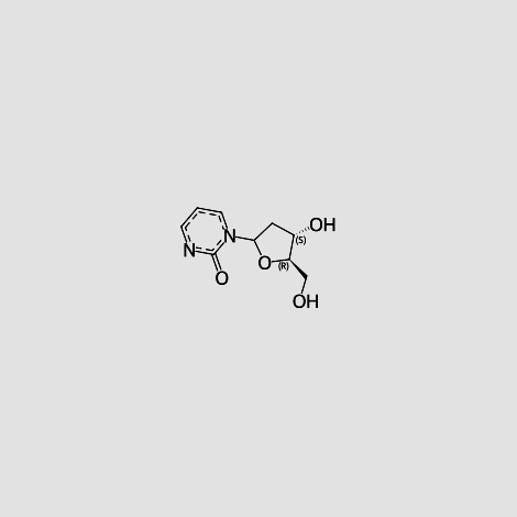 O=c1ncccn1C1C[C@H](O)[C@@H](CO)O1